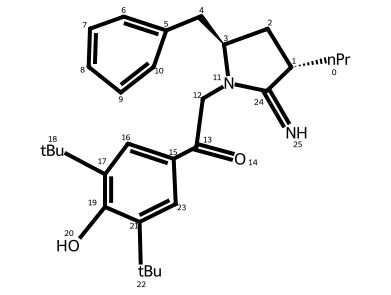 CCC[C@H]1C[C@H](Cc2ccccc2)N(CC(=O)c2cc(C(C)(C)C)c(O)c(C(C)(C)C)c2)C1=N